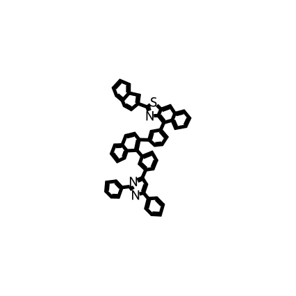 c1ccc(-c2cc(-c3cccc(-c4c(-c5cccc(-c6c7ccccc7cc7sc(-c8ccc9ccccc9c8)nc67)c5)ccc5ccccc45)c3)nc(-c3ccccc3)n2)cc1